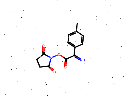 Cc1ccc(C(=N)C(=O)ON2C(=O)CCC2=O)cc1